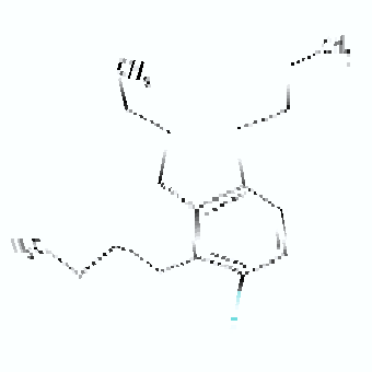 CCCCc1[c]cc(F)c(CCCC)c1CCCC